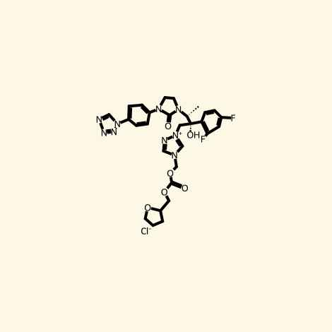 C[C@@H](N1CCN(c2ccc(-n3cnnn3)cc2)C1=O)[C@](O)(C[n+]1cn(COC(=O)OCC2CCCO2)cn1)c1ccc(F)cc1F.[Cl-]